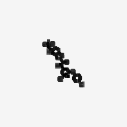 CS(=O)(=O)Nc1ccc2sc(C(=O)Nc3cc(Cl)nc(Oc4ccc(Cl)cc4)c3)cc2c1